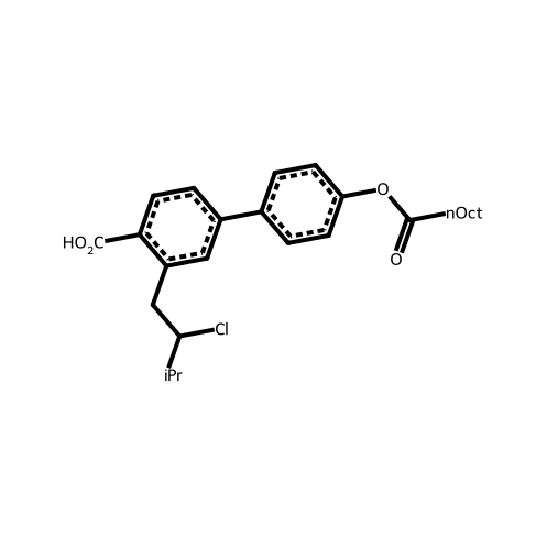 CCCCCCCCC(=O)Oc1ccc(-c2ccc(C(=O)O)c(CC(Cl)C(C)C)c2)cc1